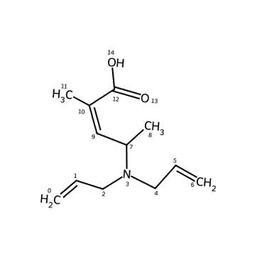 C=CCN(CC=C)C(C)C=C(C)C(=O)O